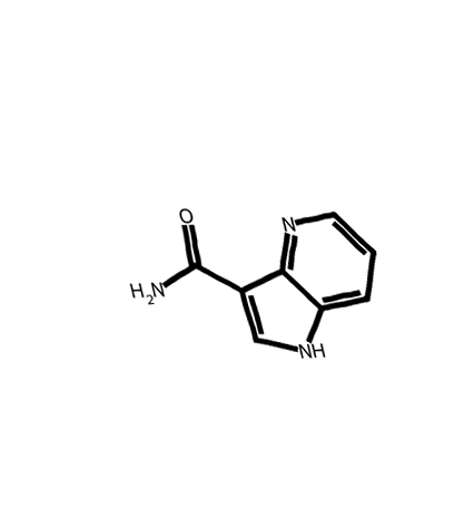 NC(=O)c1c[nH]c2cccnc12